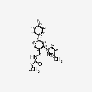 C=CC(=O)NCc1cnc(-c2ccc(F)cc2)cc1-c1ccn(C)n1